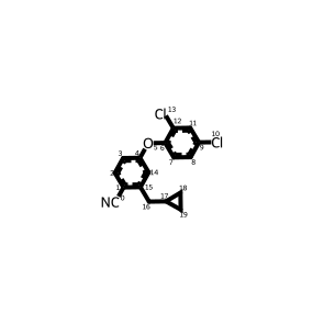 N#Cc1ccc(Oc2ccc(Cl)cc2Cl)cc1CC1CC1